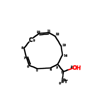 CC(C)C(O)C1CCC=CCCC=CCCC1